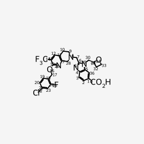 O=C(O)c1ccc2nc(CN3CCc4cc(C(F)(F)F)c(OCc5ccc(Cl)cc5F)nc4C3)n(C[C@@H]3CCO3)c2c1